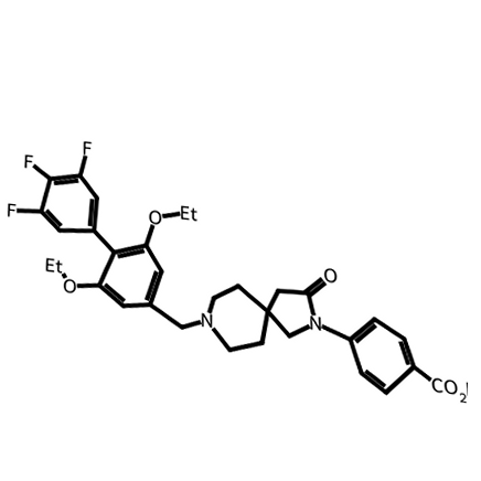 CCOc1cc(CN2CCC3(CC2)CC(=O)N(c2ccc(C(=O)O)cc2)C3)cc(OCC)c1-c1cc(F)c(F)c(F)c1